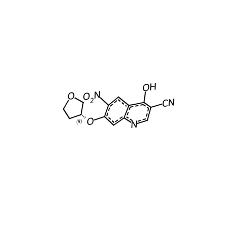 N#Cc1cnc2cc(O[C@@H]3CCOC3)c([N+](=O)[O-])cc2c1O